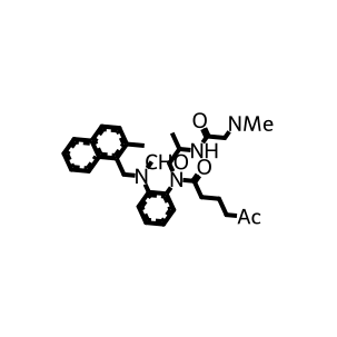 CNCC(=O)NC(C)CN(C(=O)CCCC(C)=O)c1ccccc1N(C=O)Cc1c(C)ccc2ccccc12